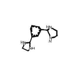 c1cc(C2NCCN2)cc(C2NCCN2)c1